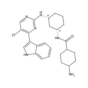 NC1CCC(C(=O)N[C@H]2CCC[C@@H](Nc3ncc(Cl)c(-c4c[nH]c5ccccc45)n3)C2)CC1